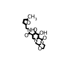 Cc1ccc(CNC(=O)c2cn3c(c(O)c2=O)C(=O)N2CCOC2C3)o1